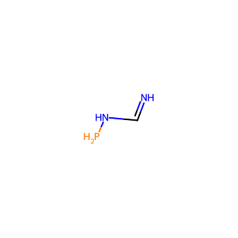 N=CNP